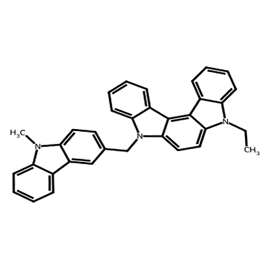 CCn1c2ccccc2c2c3c4ccccc4n(Cc4ccc5c(c4)c4ccccc4n5C)c3ccc21